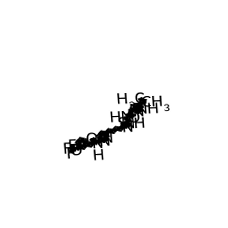 CC(C)C1=CN(CC(=O)Nc2nnc(CCCCc3ccc(NC(=O)Cc4cccc(OC(F)(F)F)c4)nn3)s2)NN1